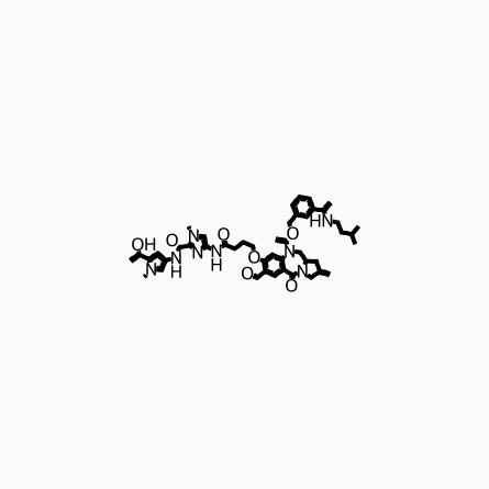 C=C1CC2CN(C(=C)OCc3cccc(C(=C)NCCC(C)C)c3)c3cc(OCCCC(=O)Nc4cn(C)c(C(=O)Nc5cc(C(=C)O)n(C)c5)n4)c(C=O)cc3C(=O)N2C1